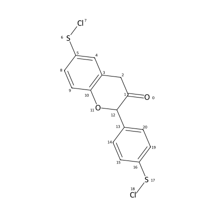 O=C1Cc2cc(SCl)ccc2OC1c1ccc(SCl)cc1